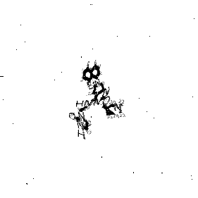 CCc1cccc2cccc(N3CCc4c(nc(OCC5(CN(C)C)CC5)nc4NCCN4CCNC4=O)C3)c12